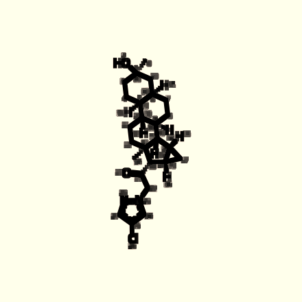 C[C@@]1(O)CC[C@H]2[C@H](CC[C@@H]3[C@@H]2CC[C@@]2(C)[C@H]3[C@@H]3C[C@@H]3[C@@H]2C(=O)Cn2cc(Cl)cn2)C1